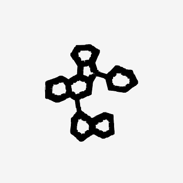 c1ccc(-n2c3ccccc3c3c4ccccc4c(-c4cccc5ccccc45)cc32)cc1